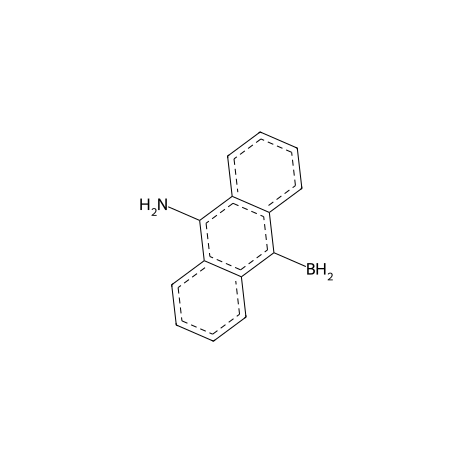 Bc1c2ccccc2c(N)c2ccccc12